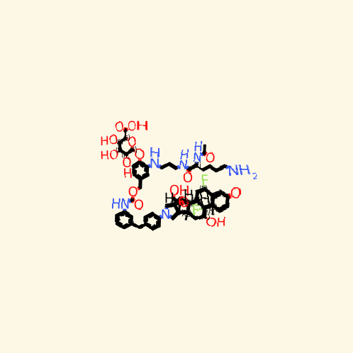 CC(=O)N[C@@H](CCCCN)C(=O)NCCCNc1cc(COC(=O)Nc2cccc(Cc3ccc(N4C[C@@H]5C[C@H]6[C@@H]7C[C@H](F)C8=CC(=O)C=C[C@]8(C)[C@@]7(F)[C@@H](O)C[C@]6(C)[C@]5(C(=O)CO)C4)cc3)c2)ccc1O[C@@H]1O[C@H](C(=O)O)[C@@H](O)[C@H](O)[C@H]1O